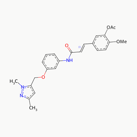 COc1ccc(/C=C/C(=O)Nc2cccc(OCc3cc(C)nn3C)c2)cc1OC(C)=O